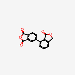 O=C1OC(=O)c2cc(-c3cccc4c3C(=O)OC4)ccc21